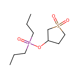 CCCP(=O)(CCC)OC1CCS(=O)(=O)C1